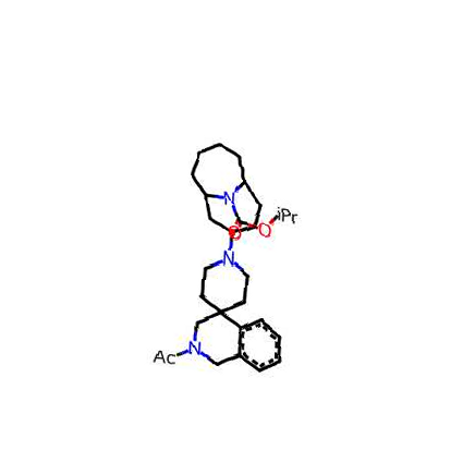 CC(=O)N1Cc2ccccc2C2(CCN(C3CCC4CCCCC(C3)N4C(=O)OC(C)C)CC2)C1